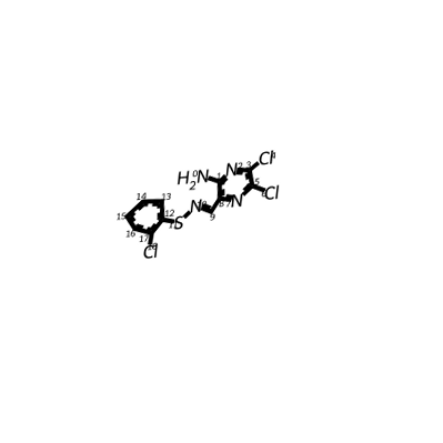 Nc1nc(Cl)c(Cl)nc1/C=N/Sc1ccccc1Cl